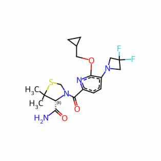 CC1(C)SCN(C(=O)c2ccc(N3CC(F)(F)C3)c(OCC3CC3)n2)[C@@H]1C(N)=O